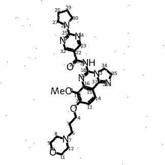 COc1c(OCCCN2CCOCC2)ccc2c1N=C(NC(=O)c1cnc(N3CCCC3)nc1)N1CCN=C21